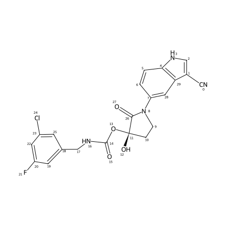 N#Cc1c[nH]c2ccc(N3CC[C@](O)(OC(=O)NCc4cc(F)cc(Cl)c4)C3=O)cc12